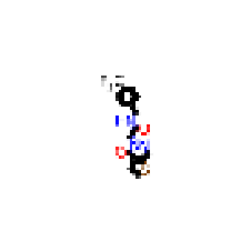 O=C(Cn1ncc2sccc2c1=O)NCc1ccc(C(F)(F)F)cc1